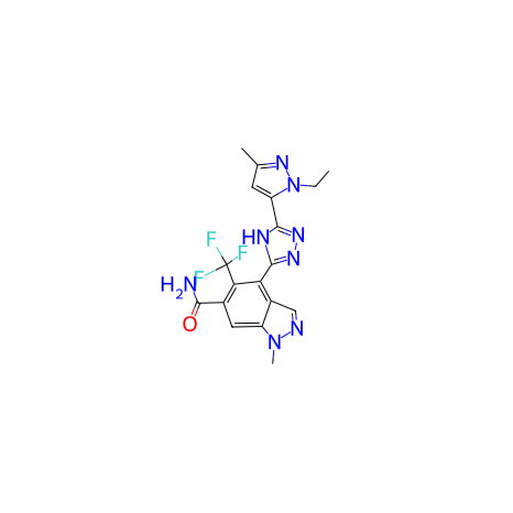 CCn1nc(C)cc1-c1nnc(-c2c(C(F)(F)F)c(C(N)=O)cc3c2cnn3C)[nH]1